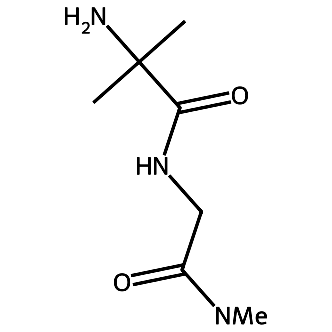 CNC(=O)CNC(=O)C(C)(C)N